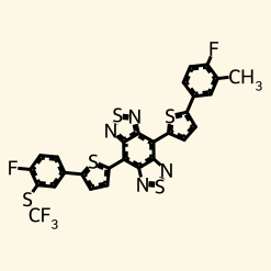 Cc1cc(-c2ccc(-c3c4c(c(-c5ccc(-c6ccc(F)c(SC(F)(F)F)c6)s5)c5nsnc35)N=S=N4)s2)ccc1F